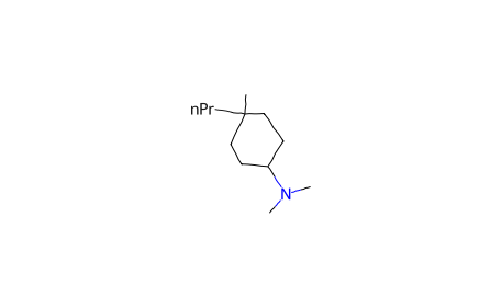 CCCC1(C)CCC(N(C)C)CC1